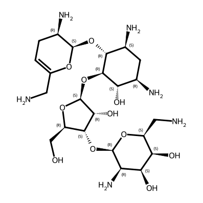 NCC1=CC[C@@H](N)[C@@H](O[C@H]2[C@H](O[C@@H]3O[C@H](CO)[C@@H](O[C@H]4O[C@@H](CN)[C@@H](O)[C@@H](O)[C@H]4N)[C@H]3O)[C@@H](O)[C@H](N)C[C@@H]2N)O1